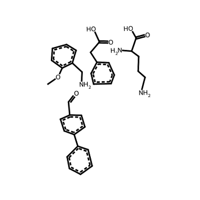 COc1ccccc1CN.NCCCC(N)C(=O)O.O=C(O)Cc1ccccc1.O=Cc1ccc(-c2ccccc2)cc1